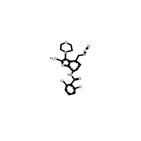 Cc1oc2c(NC(=O)c3c(Cl)cccc3Cl)ccc(CN=C=O)c2c1N1CCOCC1